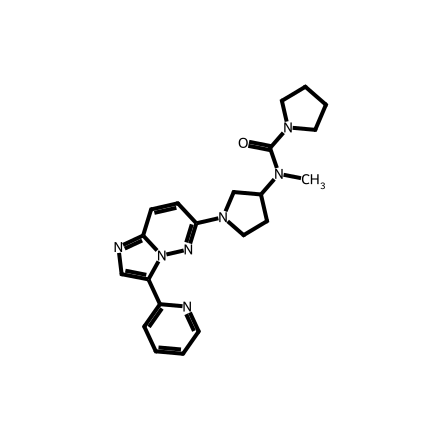 CN(C(=O)N1CCCC1)C1CCN(c2ccc3ncc(-c4ccccn4)n3n2)C1